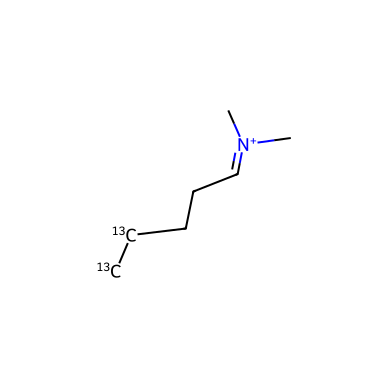 C[N+](C)=CCC[13CH2][13CH3]